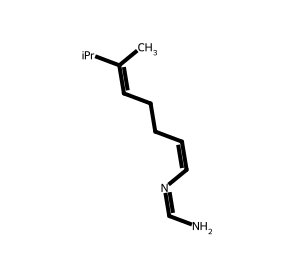 C/C(=C\CC/C=C\N=C/N)C(C)C